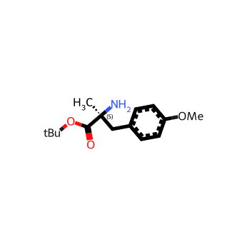 COc1ccc(C[C@](C)(N)C(=O)OC(C)(C)C)cc1